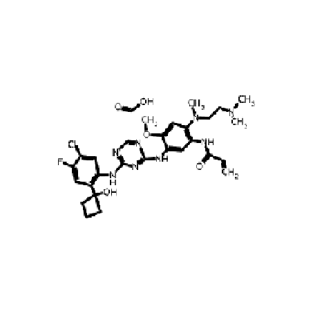 C=CC(=O)Nc1cc(Nc2ncnc(Nc3cc(Cl)c(F)cc3C3(O)CCC3)n2)c(OC)cc1N(C)CCN(C)C.O=CO